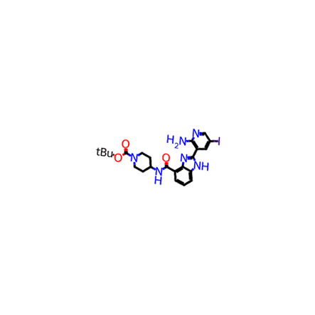 CC(C)(C)OC(=O)N1CCC(NC(=O)c2cccc3[nH]c(-c4cc(I)cnc4N)nc23)CC1